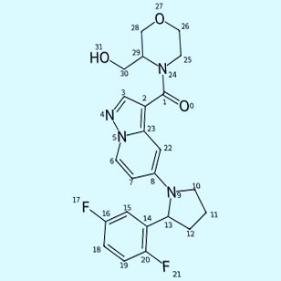 O=C(c1cnn2ccc(N3CCCC3c3cc(F)ccc3F)cc12)N1CCOCC1CO